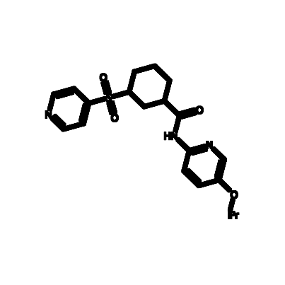 CC(C)Oc1ccc(NC(=O)C2CCCC(S(=O)(=O)c3ccncc3)C2)nc1